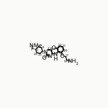 CNC[C@H]1CC[C@H](n2cc3c(nc2=O)Nc2c(OCCN)cccc2O3)CC1